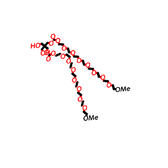 COCCOCCOCCOCCOCCOCCOCCOCCOC(=O)OCC(CO)(CO)COC(=O)OCCOCCOCCOCCOCCOCCOCCOCCOC